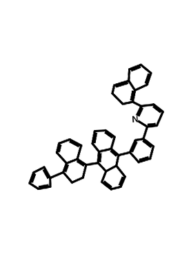 C1=CC2C(C3=c4ccccc4=C(c4ccccc4)CC3)=c3ccccc3=C(c3cccc(-c4cccc(C5=c6ccccc6=CCC5)n4)c3)C2C=C1